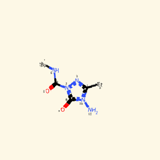 CCc1nn(C(=O)NC(C)(C)C)c(=O)n1N